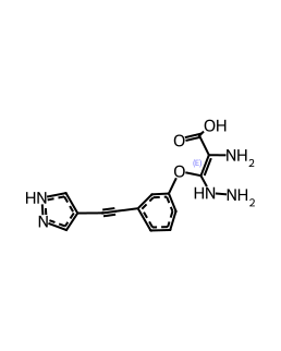 NN/C(Oc1cccc(C#Cc2cn[nH]c2)c1)=C(\N)C(=O)O